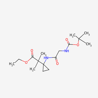 CCOC(=O)C(C)(C)C1(NC(=O)CNC(=O)OC(C)(C)C)CC1